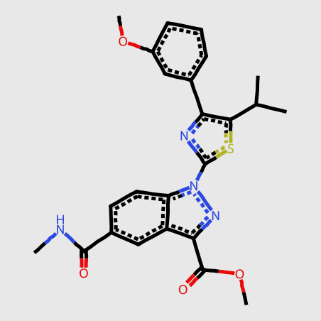 CNC(=O)c1ccc2c(c1)c(C(=O)OC)nn2-c1nc(-c2cccc(OC)c2)c(C(C)C)s1